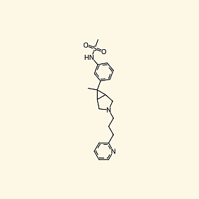 CC1(c2cccc(NS(C)(=O)=O)c2)C2CN(CCCc3ccccn3)CC21